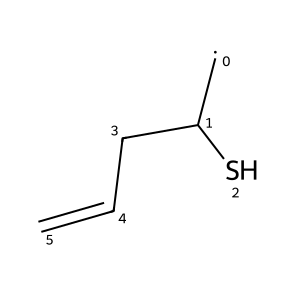 [CH2]C(S)CC=C